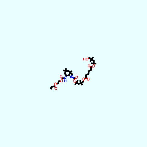 C=CC(=O)OCCOC(=O)NC1CC(C)(C)CC(C)(CNC(=O)OC(C)(C)CC(C)(C)COC(=O)CCCCC(=O)OC(C)(C)CC(C)(C)CO)C1